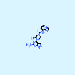 CC[C@H]1CN(C(=O)Nc2cccn3ccnc23)CCN1c1nc(N)nc2c1cnn2C